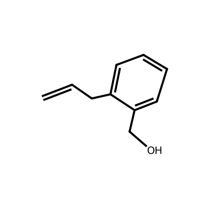 C=CCc1ccccc1CO